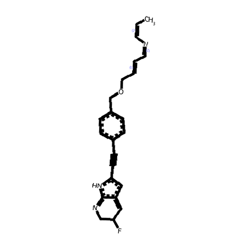 C\C=C/N=C\C=C\COCc1ccc(C#Cc2cc3c([nH]2)=NCC(F)C=3)cc1